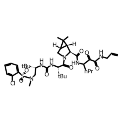 C=CCNC(=O)C(=O)C(CCC)NC(=O)[C@@H]1[C@@H]2[C@H](CN1C(=O)[C@@H](NC(=O)N[C@H](CN(C)S(=O)(=O)c1ccccc1Cl)C(C)(C)C)C(C)(C)C)C2(C)C